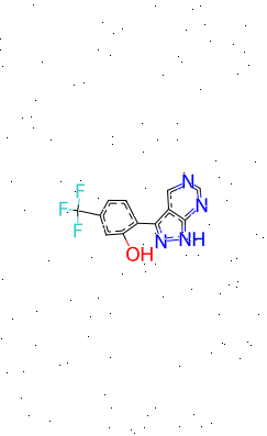 Oc1cc(C(F)(F)F)ccc1-c1n[nH]c2ncncc12